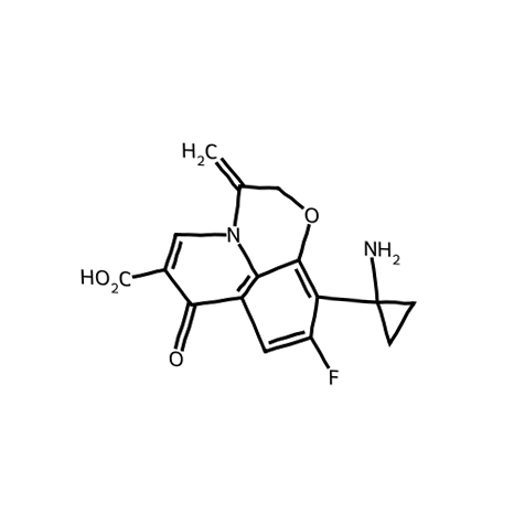 C=C1COc2c(C3(N)CC3)c(F)cc3c(=O)c(C(=O)O)cn1c23